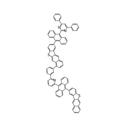 c1ccc(-c2cc(-c3ccccc3)nc(-c3c4ccccc4c(-c4ccc5sc6cc7c(-c8cccc(-c9cccc(-c%10c%11ccccc%11c(-c%11ccc%12sc%13cc%14ccccc%14cc%13c%12c%11)c%11ccccc%10%11)n9)c8)cccc7cc6c5c4)c4ccccc34)n2)cc1